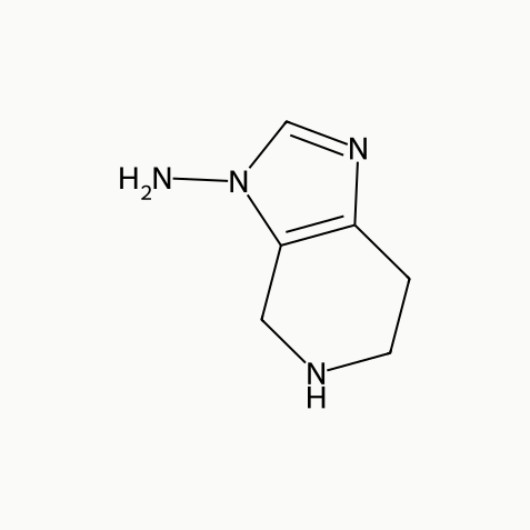 Nn1cnc2c1CNCC2